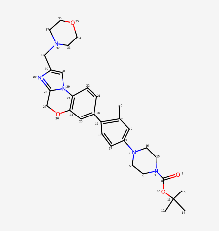 Cc1cc(N2CCN(C(=O)OC(C)(C)C)CC2)ccc1-c1ccc2c(c1)OCc1nc(CN3CCOCC3)cn1-2